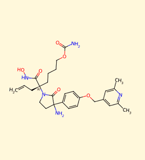 C=CC[C@](CCCCOC(N)=O)(C(=O)NO)N1CCC(N)(c2ccc(OCc3cc(C)nc(C)c3)cc2)C1=O